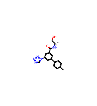 Cc1ccc(-c2cc(C(=O)N[C@@H](C)CO)cc(-n3cnnn3)c2)cc1